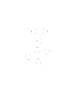 C[Si](C)(C)c1ccc(N(c2ccccc2)c2ccc3c(c2)oc2cc(N(c4ccccc4)c4ccc([Si](C)(C)C)cc4)c4oc5ccccc5c4c23)cc1